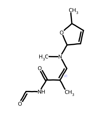 C/C(=C/N(C)C1C=CC(C)O1)C(=O)NC=O